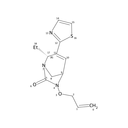 C=CCON1C(=O)N2CC1C=C(c1nccs1)[C@H]2CC